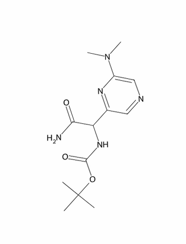 CN(C)c1cncc(C(NC(=O)OC(C)(C)C)C(N)=O)n1